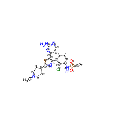 CCCS(=O)(=O)Nc1cccc(-c2nc(C3CCN(C)CC3)sc2-c2ccnc(N)n2)c1Cl